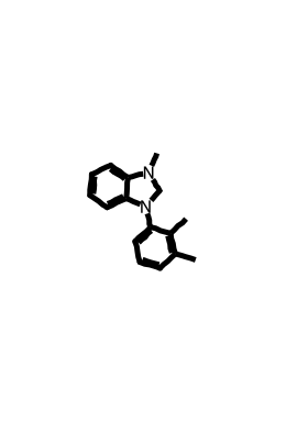 Cc1cccc(N2CN(C)c3ccccc32)c1C